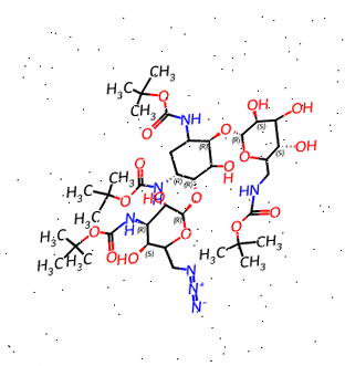 CC(C)(C)OC(=O)NCC1O[C@H](O[C@@H]2C(NC(=O)OC(C)(C)C)C[C@@H](NC(=O)OC(C)(C)C)[C@@H](O[C@H]3OC(CN=[N+]=[N-])[C@@H](O)[C@@H](NC(=O)OC(C)(C)C)C3O)C2O)[C@@H](O)C(O)[C@@H]1O